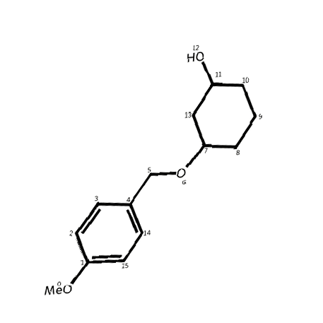 COc1ccc(COC2CCCC(O)C2)cc1